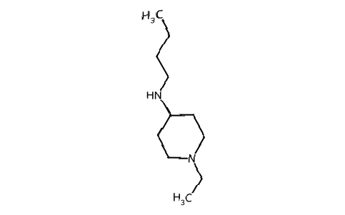 CCCCNC1CCN(CC)CC1